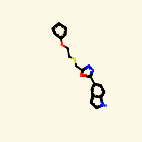 c1ccc(OCCSCc2nnc(-c3ccc4[nH]ccc4c3)o2)cc1